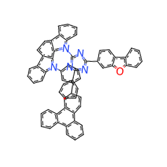 c1ccc(-c2nc(-c3ccc4c(c3)oc3ccccc34)nc(-n3c4ccccc4c4ccc5c6ccccc6n(-c6cccc(-c7ccc8c9ccccc9c9ccccc9c8c7)c6)c5c43)n2)cc1